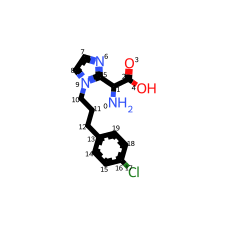 NC(C(=O)O)c1nccn1CCCc1ccc(Cl)cc1